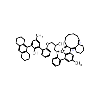 C=C1CCCCC/C=C2/CCCC/C2=C/1c1cc(C)cc(-c2ccccc2OCC(C)COc2ccccc2-c2cc(C)cc(-c3c4c(cc5c3CCCC5)CCCC4)c2O)c1O